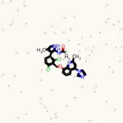 CC(=O)Nc1[nH]cc(C)c1-c1ccc(Cl)c(COc2cccc3c(-n4ccnc4)cc(C)nc23)c1Cl